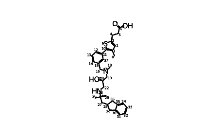 Cc1cc(CCC(=O)O)sc1-c1cccc(CN(C)C[C@H](O)CNC(C)(C)CC2Cc3ccccc3C2)c1